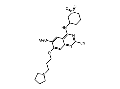 COc1cc2c(NC3CCCS(=O)(=O)C3)nc(C#N)nc2cc1OCCCN1CCCC1